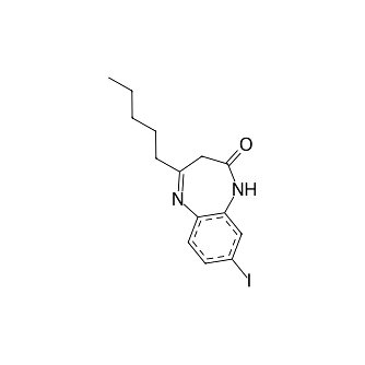 CCCCCC1=Nc2ccc(I)cc2NC(=O)C1